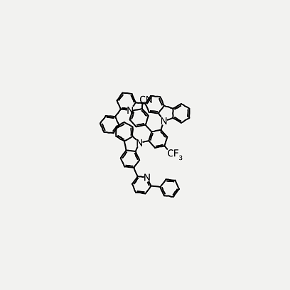 N#Cc1cccc(-c2c(-n3c4ccccc4c4ccc(-c5cccc(-c6ccccc6)n5)cc43)cc(C(F)(F)F)cc2-n2c3ccccc3c3ccc(-c4cccc(-c5ccccc5)n4)cc32)c1